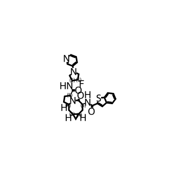 O=C(N[C@H]1C[C@H]2C[C@H]2C[C@H]2CC[C@@H](C(=O)N[C@H]3CN(c4cccnc4)C[C@@H]3F)N2C1=O)c1cc2ccccc2s1